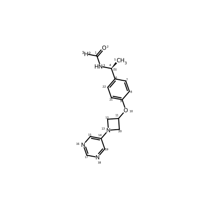 [3H]C(=O)N[C@@H](C)c1ccc(OC2CN(c3cncnc3)C2)cc1